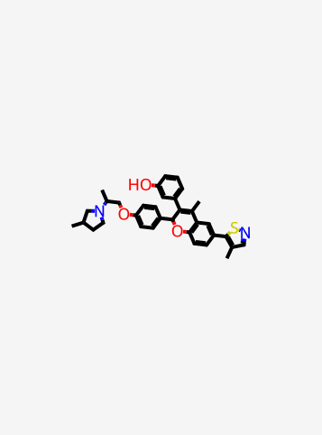 CC1=C(c2cccc(O)c2)C(c2ccc(OCC(C)N3CCC(C)C3)cc2)Oc2ccc(-c3sncc3C)cc21